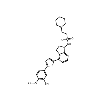 CC(C)Oc1ccc(-c2ncc(-c3cccc4c3CCC4NS(=O)(=O)CCN3CCCCC3)s2)cc1C#N